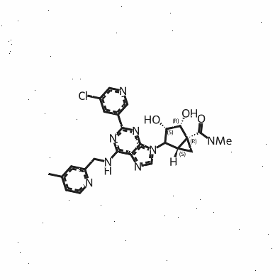 CNC(=O)[C@]12C[C@@H]1C(n1cnc3c(NCc4cc(C)ccn4)nc(-c4cncc(Cl)c4)nc31)[C@H](O)[C@@H]2O